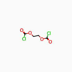 O=C(Cl)OCCOC(=O)Cl